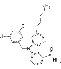 CCCCCc1c[c]c2c3c(C(N)=O)cccc3n(Cc3cc(Cl)cc(Cl)c3)c2c1